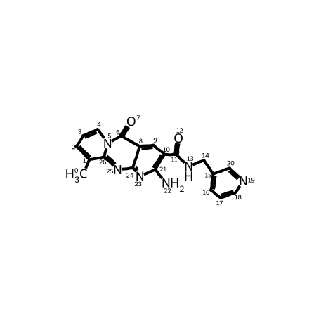 Cc1cccn2c(=O)c3cc(C(=O)NCc4cccnc4)c(N)nc3nc12